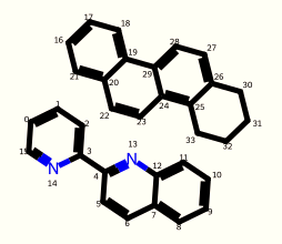 c1ccc(-c2ccc3ccccc3n2)nc1.c1ccc2c(c1)ccc1c3c(ccc12)CCCC3